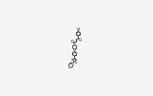 COc1ccc(C(=O)/C=C/C(=O)N2CCN(c3ccc(-c4csc(N5CCOCC5)n4)cc3)CC2)cc1